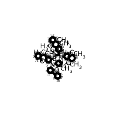 Cc1cc2c3c(c1)N(c1cccc4c1oc1ccccc14)c1cc4c(cc1B3c1sc3c5c(ccc3c1N2c1ccc2c(c1)C(C)(C)CCC2(C)C)C(C)(C)c1ccccc1C5(C)C)C(C)(C)c1ccccc1O4